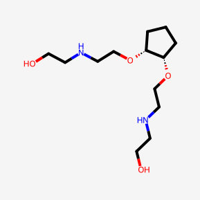 OCCNCCO[C@H]1CCC[C@H]1OCCNCCO